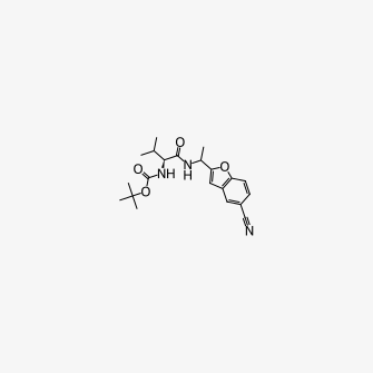 CC(NC(=O)[C@@H](NC(=O)OC(C)(C)C)C(C)C)c1cc2cc(C#N)ccc2o1